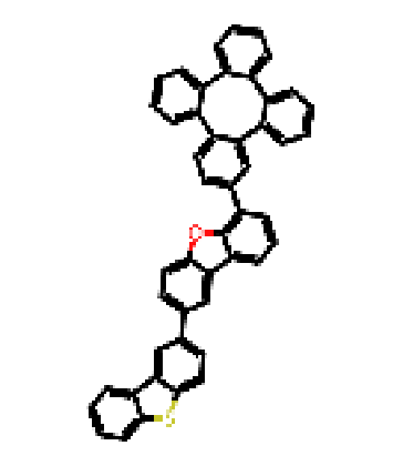 c1ccc2c(c1)-c1ccccc1-c1ccc(-c3cccc4c3oc3ccc(-c5ccc6sc7ccccc7c6c5)cc34)cc1-c1ccccc1-2